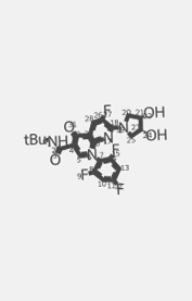 CC(C)(C)NC(=O)c1cn(-c2c(F)cc(F)cc2F)c2nc(N3C[C@@H](O)[C@H](O)C3)c(F)cc2c1=O